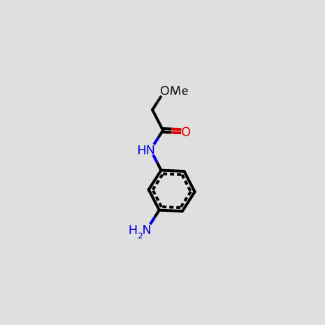 COCC(=O)Nc1cccc(N)c1